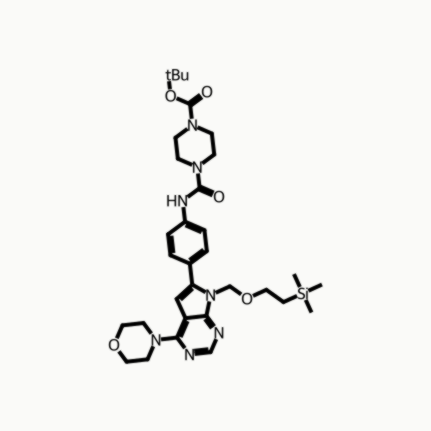 CC(C)(C)OC(=O)N1CCN(C(=O)Nc2ccc(-c3cc4c(N5CCOCC5)ncnc4n3COCC[Si](C)(C)C)cc2)CC1